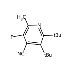 Cc1nc(C(C)(C)C)c(C(C)(C)C)c(C#N)c1F